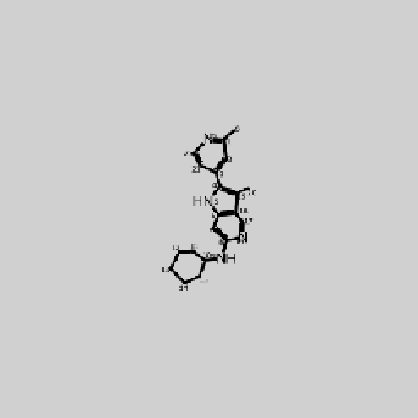 Cc1cc(-c2[nH]c3cc(NC4CCCCC4)ncc3c2C)ccn1